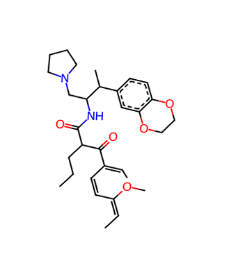 C\C=C(/C=C\C(=C/C)C(=O)C(CCC)C(=O)NC(CN1CCCC1)C(C)c1ccc2c(c1)OCCO2)OC